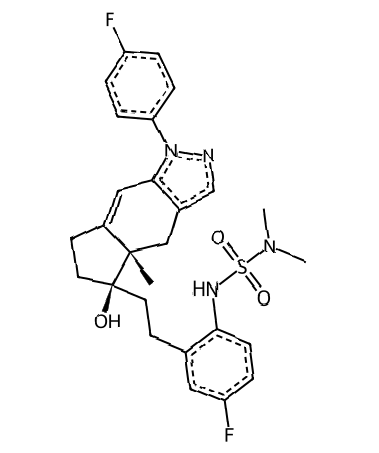 CN(C)S(=O)(=O)Nc1ccc(F)cc1CC[C@]1(O)CCC2=Cc3c(cnn3-c3ccc(F)cc3)C[C@@]21C